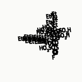 CCN(CC)CC.CCN(CC)CC.CCN(CC)CC.CCN(CC)CC.CCN(CC)CC.CCN(CC)CC.CCN(CC)CC.O=S(=O)(O)OC[C@H]1O[C@@H](Sc2ccc(F)cc2)[C@H](OS(=O)(=O)O)[C@@H](OS(=O)(=O)O)[C@@H]1O[C@H]1O[C@H](COS(=O)(=O)O)[C@@H](OS(=O)(=O)O)[C@H](OS(=O)(=O)O)[C@H]1OS(=O)(=O)O